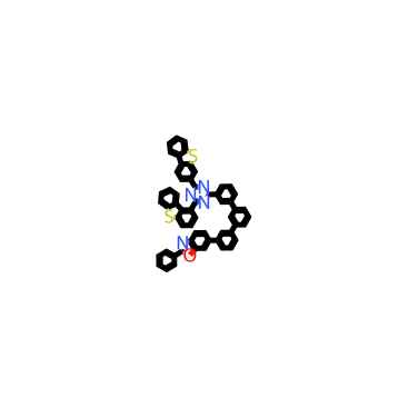 c1ccc(-c2nc3ccc(-c4cccc(-c5cccc(-c6cccc(-c7nc(-c8ccc9c(c8)sc8ccccc89)nc(-c8cccc9sc%10ccccc%10c89)n7)c6)c5)c4)cc3o2)cc1